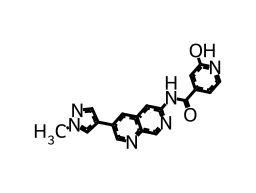 Cn1cc(-c2cnc3cnc(NC(=O)c4ccnc(O)c4)cc3c2)cn1